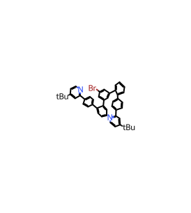 CC(C)(C)c1ccnc(-c2ccc(-c3ccccc3-c3cc(Br)cc(-c4ccccc4-c4ccc(-c5cc(C(C)(C)C)ccn5)cc4)c3)cc2)c1